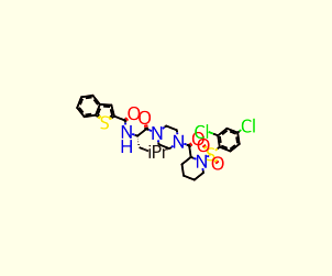 CC(C)C[C@H](NC(=O)c1cc2ccccc2s1)C(=O)N1CCN(C(=O)C2CCCCN2S(=O)(=O)c2ccc(Cl)cc2Cl)CC1